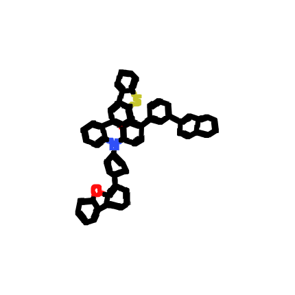 c1cc(-c2ccc(N(c3ccc(-c4cccc5c4oc4ccccc45)cc3)c3ccccc3-c3ccc4sc5ccccc5c4c3)cc2)cc(-c2ccc3ccccc3c2)c1